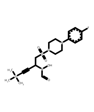 C[Si](C)(C)C#CC(CS(=O)(=O)N1CCN(c2ccc(F)cc2)CC1)N(O)C=O